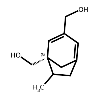 CC1CC2=CC(CO)=C[C@@]1(CO)C2